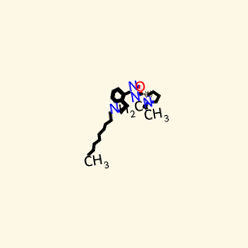 C=C(C)N1CCC[C@H]1c1nc(-c2cccc3c2ccn3CCCCCCCCCC)no1